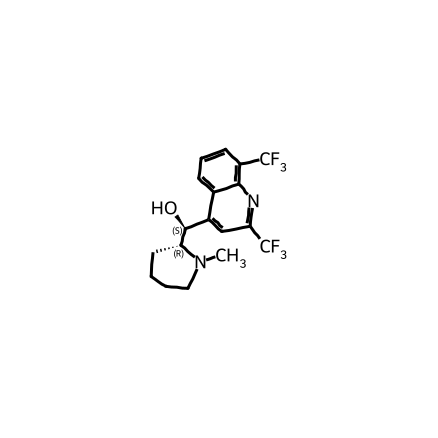 CN1CCCC[C@@H]1[C@@H](O)c1cc(C(F)(F)F)nc2c(C(F)(F)F)cccc12